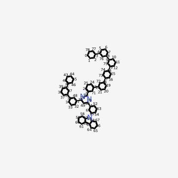 c1ccc(-c2cccc(-c3cccc(-c4ccc(-c5cccc(-c6cccc(-c7nc(-c8cccc(-c9cccc(-c%10ccccc%10)c9)c8)cc(-c8cccc(-n9c%10ccccc%10c%10ccccc%109)c8)n7)c6)c5)cc4)c3)c2)cc1